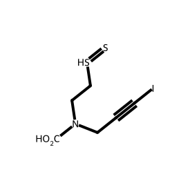 O=C(O)N(CC#CI)CC[SH]=S